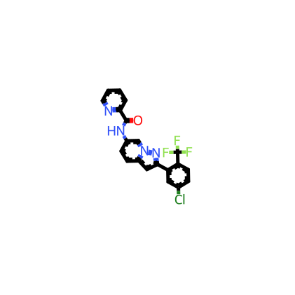 O=C(Nc1ccc2cc(-c3cc(Cl)ccc3C(F)(F)F)nn2c1)c1ccccn1